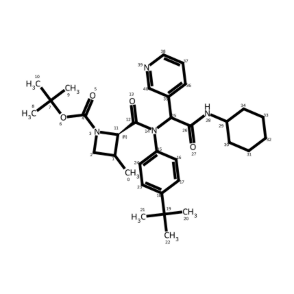 CC1CN(C(=O)OC(C)(C)C)[C@H]1C(=O)N(c1ccc(C(C)(C)C)cc1)C(C(=O)NC1CCCCC1)c1cccnc1